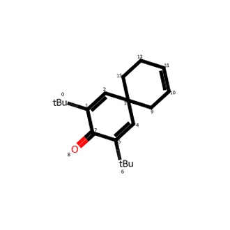 CC(C)(C)C1=CC2(C=C(C(C)(C)C)C1=O)CC=CCC2